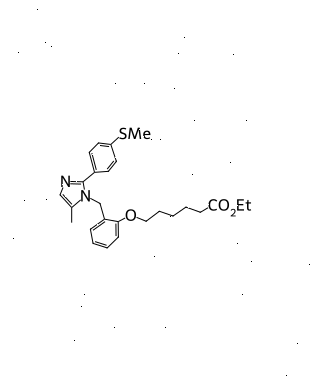 CCOC(=O)CCCCCOc1ccccc1Cn1c(C)cnc1-c1ccc(SC)cc1